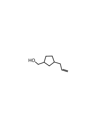 C=CCC1CCC(CO)C1